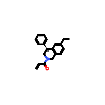 C=CC(=O)N1Cc2ccc(CC)cc2[C@@H](c2ccccc2)C1